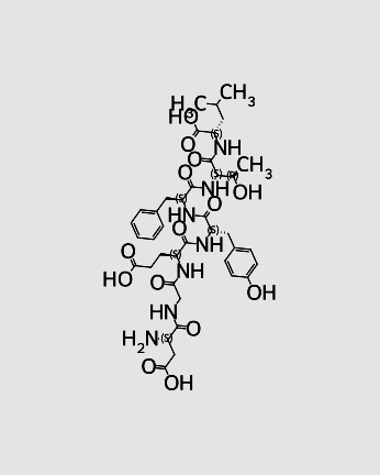 CC(C)C[C@H](NC(=O)[C@@H](NC(=O)[C@H](Cc1ccccc1)NC(=O)[C@H](Cc1ccc(O)cc1)NC(=O)[C@H](CCC(=O)O)NC(=O)CNC(=O)[C@@H](N)CC(=O)O)[C@@H](C)O)C(=O)O